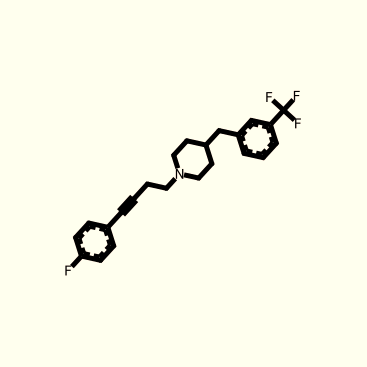 Fc1ccc(C#CCCN2CCC(Cc3cccc(C(F)(F)F)c3)CC2)cc1